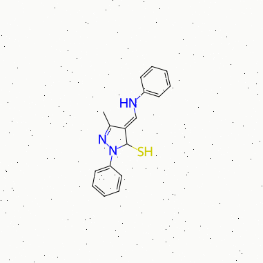 CC1=NN(c2ccccc2)C(S)/C1=C/Nc1ccccc1